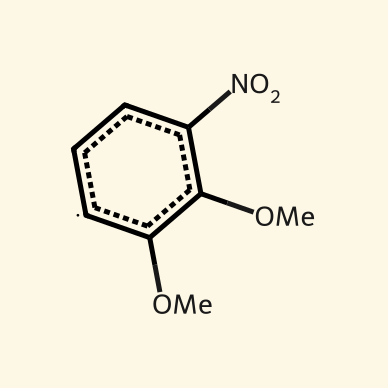 COc1[c]ccc([N+](=O)[O-])c1OC